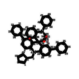 C1=CC(CN2c3ccc(-c4ccccc4)cc3C3(c4cc(-c5ccccc5)ccc42)c2ccccc2N(c2ccccc2)c2ccccc23)C=C1